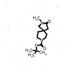 CN1CC2(CCN(C(=O)OC(C)(C)C)CC2)CC1=O